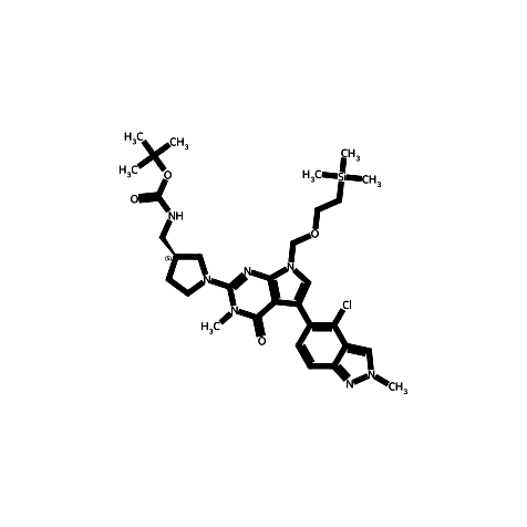 Cn1cc2c(Cl)c(-c3cn(COCC[Si](C)(C)C)c4nc(N5CC[C@@H](CNC(=O)OC(C)(C)C)C5)n(C)c(=O)c34)ccc2n1